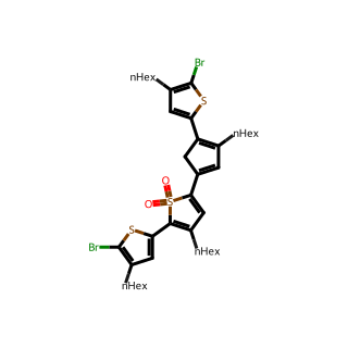 CCCCCCC1=C(c2cc(CCCCCC)c(Br)s2)CC(C2=CC(CCCCCC)=C(c3cc(CCCCCC)c(Br)s3)S2(=O)=O)=C1